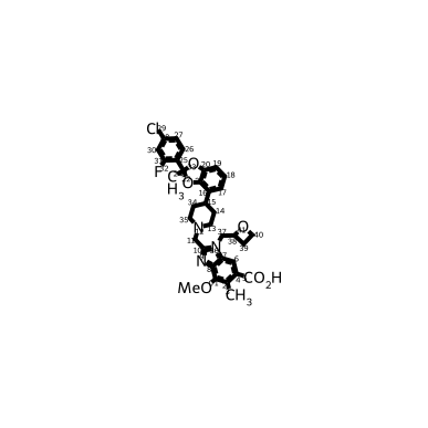 COc1c(C)c(C(=O)O)cc2c1nc(CN1CCC(c3cccc4c3OC(C)(c3ccc(Cl)cc3F)O4)CC1)n2CC1CCO1